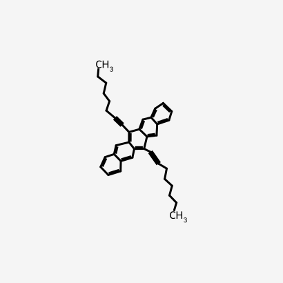 CCCCCCC#Cc1c2cc3ccccc3cc2c(C#CCCCCCC)c2cc3ccccc3cc12